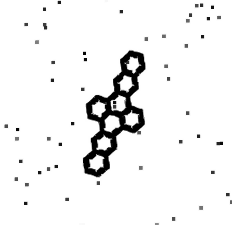 c1ccc2cc3c(cc2c1)c1cccc2c4cc5ccccc5cc4c4cccc3c4c12